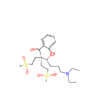 CCN(CC)CCCC1Oc2ccccc2C(=O)C1(CCS(C)(=O)=O)CCS(C)(=O)=O